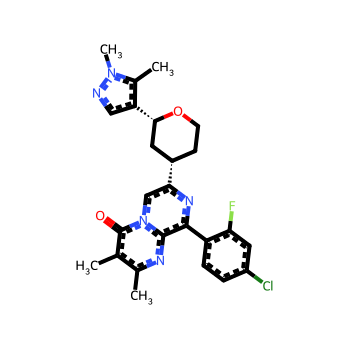 Cc1nc2c(-c3ccc(Cl)cc3F)nc([C@H]3CCO[C@@H](c4cnn(C)c4C)C3)cn2c(=O)c1C